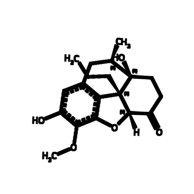 CCC[C@]12c3c4cc(O)c(OC)c3O[C@H]1C(=O)CC[C@@]2(O)[C@H](C)C4